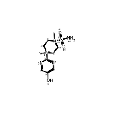 C[N+]1(c2ncc(O)cn2)CC[N+](C)(S(N)(=O)=O)CC1